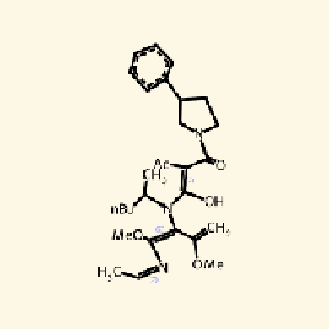 C=C(OC)/C(=C(\N=C/C)OC)N(/C(O)=C(\C(C)=O)C(=O)N1CCC(c2ccccc2)C1)C(C)CCCC